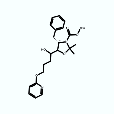 CC(C)(C)OC(=O)N1[C@@H](Cc2ccccc2)C(C(O)CCCOc2ccccn2)OC1(C)C